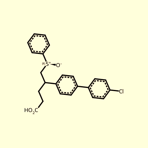 O=C(O)CCC(C[S@+]([O-])c1ccccc1)c1ccc(-c2ccc(Cl)cc2)cc1